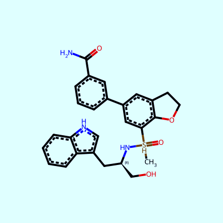 C[SH](=O)(N[C@@H](CO)Cc1c[nH]c2ccccc12)c1cc(-c2cccc(C(N)=O)c2)cc2c1OCC2